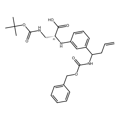 C=CCC(NC(=O)OCc1ccccc1)c1cccc(N[C@H](CNC(=O)OC(C)(C)C)C(=O)O)c1